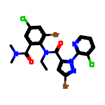 CCN(C(=O)c1cc(Br)nn1-c1ncccc1Cl)c1c(Br)cc(Cl)cc1C(=O)N(C)C